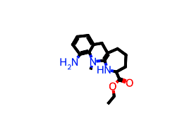 CCOC(=O)C1CCCC2=C(N1)N(C)c1c(N)cccc1C2